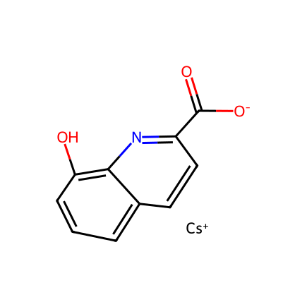 O=C([O-])c1ccc2cccc(O)c2n1.[Cs+]